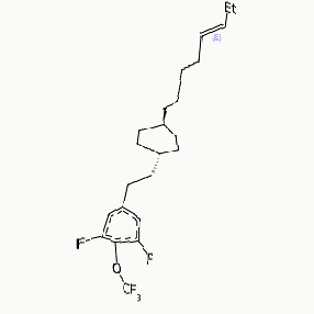 CC/C=C/CCCC[C@H]1CC[C@H](CCc2cc(F)c(OC(F)(F)F)c(F)c2)CC1